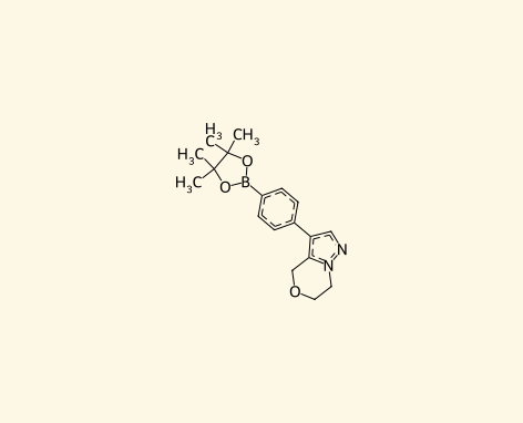 CC1(C)OB(c2ccc(-c3cnn4c3COCC4)cc2)OC1(C)C